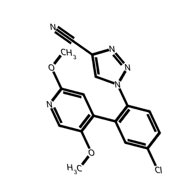 COc1cc(-c2cc(Cl)ccc2-n2cc(C#N)nn2)c(OC)cn1